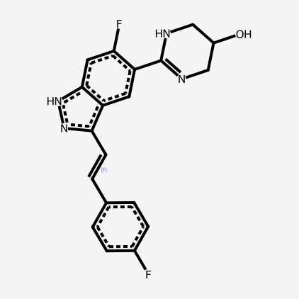 OC1CN=C(c2cc3c(/C=C/c4ccc(F)cc4)n[nH]c3cc2F)NC1